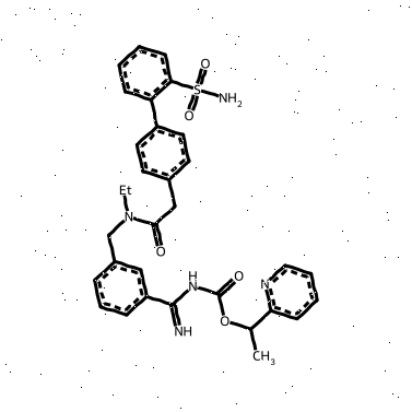 CCN(Cc1cccc(C(=N)NC(=O)OC(C)c2ccccn2)c1)C(=O)Cc1ccc(-c2ccccc2S(N)(=O)=O)cc1